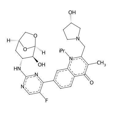 Cc1c(CN2CC[C@H](O)C2)n(C(C)C)c2cc(-c3nc(N[C@@H]4C[C@H]5CO[C@H](O5)[C@H]4O)ncc3F)ccc2c1=O